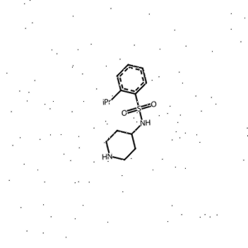 CC(C)c1ccccc1S(=O)(=O)NC1CCNCC1